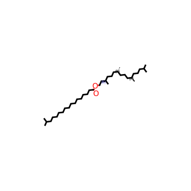 C/C(=C\COC(=O)CCCCCCCCCCCCCCC(C)C)CCC[C@H](C)CCC[C@H](C)CCCC(C)C